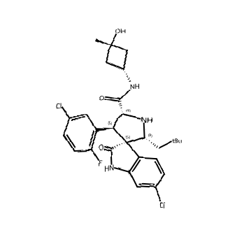 CC(C)(C)C[C@H]1N[C@@H](C(=O)N[C@H]2C[C@@](C)(O)C2)[C@H](c2cc(Cl)ccc2F)[C@@]12C(=O)Nc1cc(Cl)ccc12